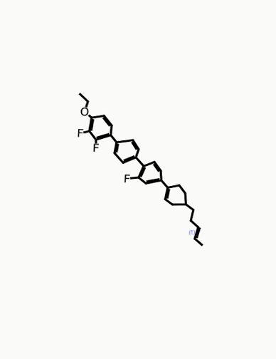 C/C=C/CCC1CC=C(c2ccc(-c3ccc(-c4ccc(OCC)c(F)c4F)cc3)c(F)c2)CC1